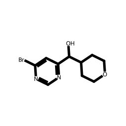 OC(c1cc(Br)ncn1)C1CCOCC1